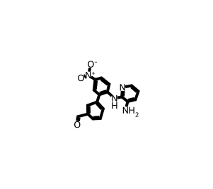 Nc1cccnc1Nc1ccc([N+](=O)[O-])cc1-c1cccc(C=O)c1